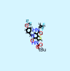 CC(C)(C)OC(=O)N[C@H]1CSc2c(C(=O)N[C@@H]3CC3(F)F)cn(Cc3ccc(OC(F)F)cc3)c(=O)c21